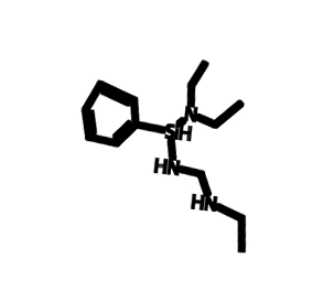 CCNCN[SiH](c1ccccc1)N(CC)CC